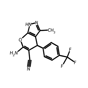 Cc1n[nH]c2c1C(c1ccc(C(F)(F)F)cc1)C(C#N)=C(N)O2